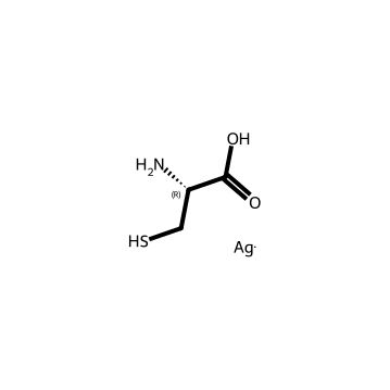 N[C@@H](CS)C(=O)O.[Ag]